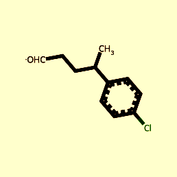 CC(CC[C]=O)c1ccc(Cl)cc1